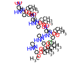 CC(C)(C)C(=O)Oc1ccc(Cl)cc1-c1nc2cc([N+](=O)[O-])ccc2[nH]1.CC(C)(C)C(=O)Oc1cccc(-c2nc3ccccc3[nH]2)c1.CC(C)(C)C(=O)Oc1ccccc1-c1nc2cc([N+](=O)[O-])ccc2[nH]1.COc1ccc(-c2nc3ccccc3[nH]2)cc1OC(=O)C(C)(C)C.Cc1cccc(-c2nc3cc([N+](=O)[O-])ccc3[nH]2)c1OC(=O)C(C)(C)C